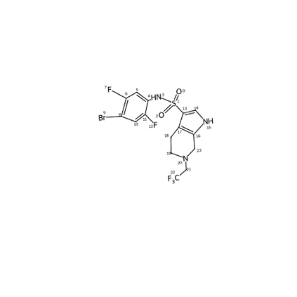 O=S(=O)(Nc1cc(F)c(Br)cc1F)c1c[nH]c2c1CCN(CC(F)(F)F)C2